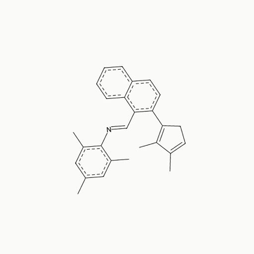 CC1=CCC(c2ccc3ccccc3c2/C=N/c2c(C)cc(C)cc2C)=C1C